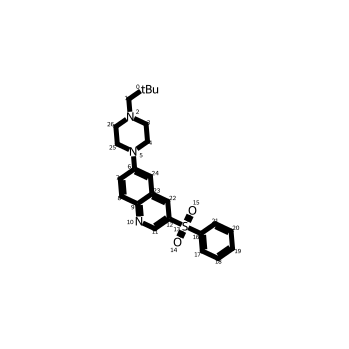 CC(C)(C)CN1CCN(c2ccc3ncc(S(=O)(=O)c4ccccc4)cc3c2)CC1